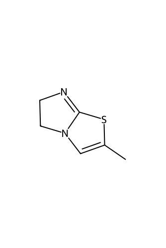 CC1=CN2CCN=C2S1